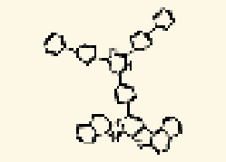 c1ccc(-c2ccc(-c3nc(-c4ccc(-c5ccccc5)cc4)nc(-c4ccc(-c5cc6c(sc7ccc8ccccc8c76)c6nc7c8ccccc8ccc7n56)cc4)n3)cc2)cc1